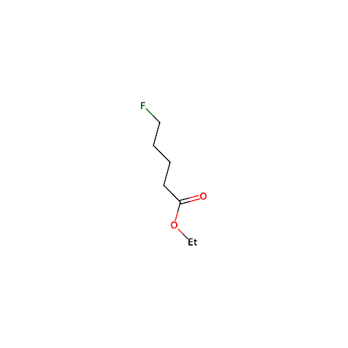 CCOC(=O)CCCCF